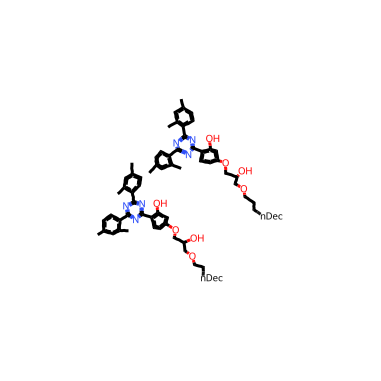 CCCCCCCCCCCCCOCC(O)COc1ccc(-c2nc(-c3ccc(C)cc3C)nc(-c3ccc(C)cc3C)n2)c(O)c1.CCCCCCCCCCCCOCC(O)COc1ccc(-c2nc(-c3ccc(C)cc3C)nc(-c3ccc(C)cc3C)n2)c(O)c1